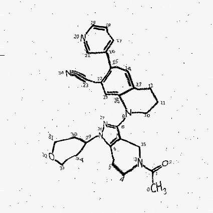 CC(=O)N1CCc2c(c(N3CCCc4cc(-c5cccnc5)c(C#N)cc43)nn2C2CCOCC2)C1